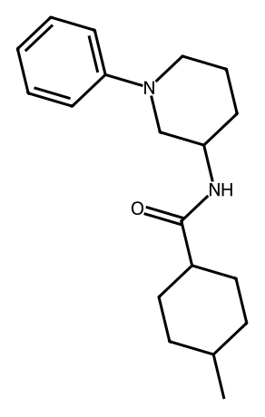 CC1CCC(C(=O)NC2CCCN(c3ccccc3)C2)CC1